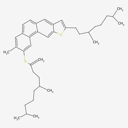 C=C(CCC(C)CCCC(C)C)Sc1cc2c(ccc3cc4cc(CCC(C)CCCC(C)C)sc4cc32)cc1C